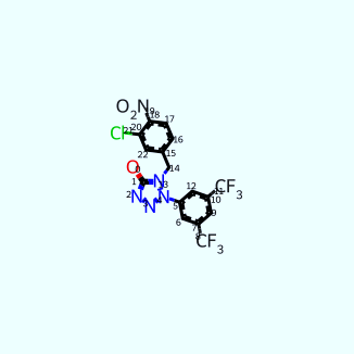 O=c1nnn(-c2cc(C(F)(F)F)cc(C(F)(F)F)c2)n1Cc1ccc([N+](=O)[O-])c(Cl)c1